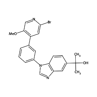 COc1cnc(Br)cc1-c1cccc(-n2cnc3cc(C(C)(C)O)ccc32)c1